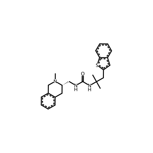 CN1Cc2ccccc2C[C@H]1CNC(=O)NC(C)(C)Cc1cc2ccccc2s1